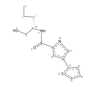 CCC[C@@H](CO)NC(=O)c1cc(-c2cccs2)on1